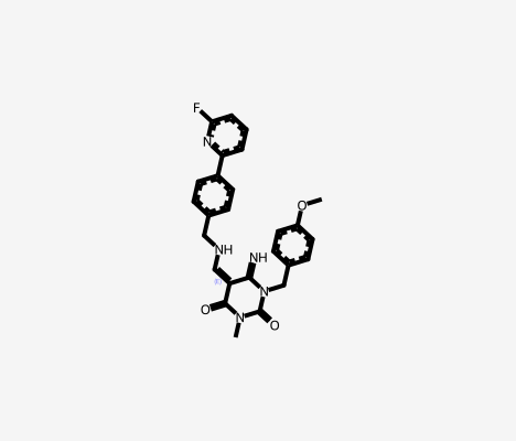 COc1ccc(CN2C(=N)/C(=C\NCc3ccc(-c4cccc(F)n4)cc3)C(=O)N(C)C2=O)cc1